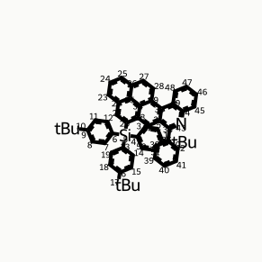 CC(C)(C)c1ccc([Si](c2ccc(C(C)(C)C)cc2)(c2ccc(C(C)(C)C)cc2)c2cc3cccc4ccc5c6c(cc2c5c43)c(-c2ccccc2)nc2ccccc26)cc1